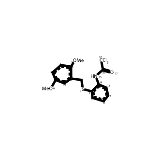 COc1ccc(OC)c(CSc2ccccc2NC(=O)C(Cl)(Cl)Cl)c1